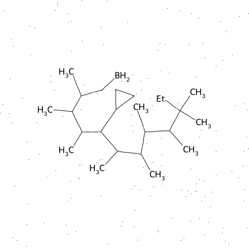 BCC(C)C(C)C(C)C(C1CC1)C(C)C(C)C(C)C(C)C(C)(C)CC